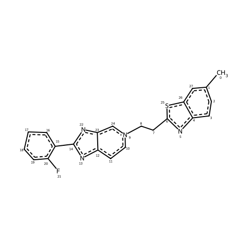 Cc1ccc2nc(CCn3ccc4nc(-c5ccccc5F)nc-4c3)sc2c1